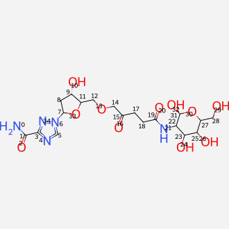 NC(=O)c1ncn(C2C[C@H](O)C(COCC(=O)CCC(=O)NC3C(O)C(O)C(CO)O[C@@H]3O)O2)n1